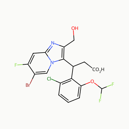 O=C(O)CC(c1c(Cl)cccc1OC(F)F)c1c(CO)nc2cc(F)c(Br)cn12